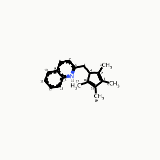 CC1=C(C)C(Cc2ccc3ccccc3n2)C(C)=C1C